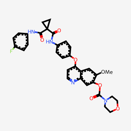 COc1cc2c(Oc3ccc(NC(=O)C4(C(=O)Nc5ccc(F)cc5)CC4)cc3)ccnc2cc1OC(=O)N1CCOCC1